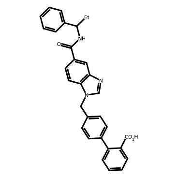 CCC(NC(=O)c1ccc2c(c1)ncn2Cc1ccc(-c2ccccc2C(=O)O)cc1)c1ccccc1